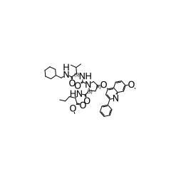 CCCC(NC(=O)[C@@H]1C[C@@H](Oc2cc(-c3ccccc3)nc3cc(OC)ccc23)CN1C(=O)N[C@H](C(=O)NCC1CCCCC1)C(C)C)C(=O)OC